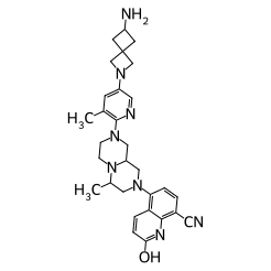 Cc1cc(N2CC3(CC(N)C3)C2)cnc1N1CCN2C(C)CN(c3ccc(C#N)c4nc(O)ccc34)CC2C1